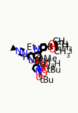 CCn1c(-c2cc(N3CCN(C4CC4)CC3)cnc2[C@H](C)OC)c(CC(C)(C)C[C@]2(C(=O)O)CCCN(C(=O)OC(C)(C)C)N2C(=O)OC(C)(C)C)c2cc(B3OC(C)(C)C(C)(C)O3)ccc21